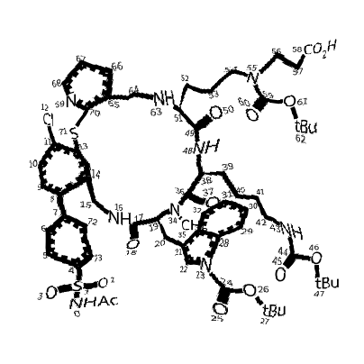 CC(=O)NS(=O)(=O)c1ccc(-c2ccc(Cl)c3c2CNC(=O)[C@H](Cc2cn(C(=O)OC(C)(C)C)c4ccccc24)N(C)C(=O)[C@H](CCCCNC(=O)OC(C)(C)C)NC(=O)[C@H](CCCN(CCC(=O)O)C(=O)OC(C)(C)C)NCc2cccnc2S3)cc1